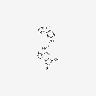 N#Cc1cc(F)cc([C@@H]2CC=NN2C(=O)NCCNc2ncc(F)c(-c3ncc[nH]3)n2)c1